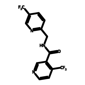 O=C(NCc1ccc(C(F)(F)F)cn1)c1cnccc1C(F)(F)F